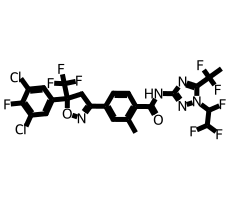 Cc1cc(C2=NOC(c3cc(Cl)c(F)c(Cl)c3)(C(F)(F)F)C2)ccc1C(=O)Nc1nc(C(C)(F)F)n(C(F)C(F)F)n1